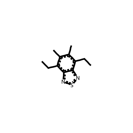 CCc1c(C)c(C)c(CC)c2nsnc12